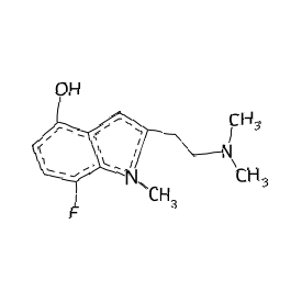 CN(C)CCc1cc2c(O)ccc(F)c2n1C